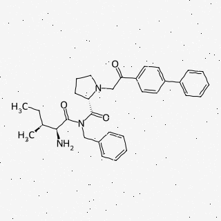 CC[C@H](C)[C@H](N)C(=O)N(Cc1ccccc1)C(=O)[C@@H]1CCCN1CC(=O)c1ccc(-c2ccccc2)cc1